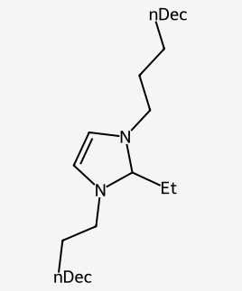 CCCCCCCCCCCCCN1C=CN(CCCCCCCCCCCC)C1CC